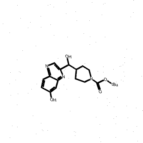 CC(C)(C)OC(=O)N1CCC(C(O)c2cnc3ccc(O)cc3n2)CC1